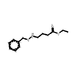 CCOC(=O)CCCNOCc1ccccc1